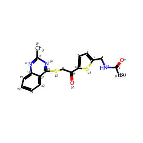 CC(C)(C)C(=O)NCc1ccc(C(=O)CSc2nc(C(F)(F)F)nc3ccccc23)s1